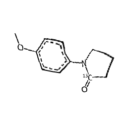 COc1ccc(N2CCC[13C]2=O)cc1